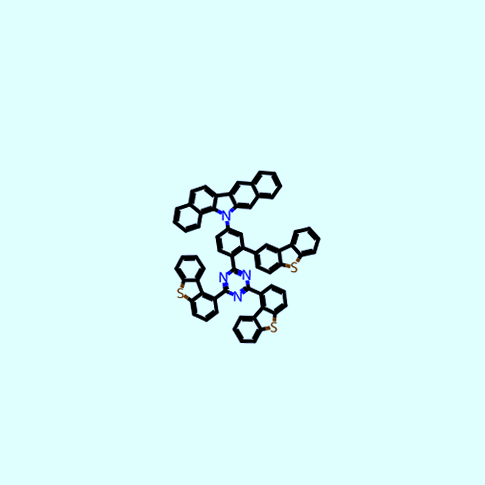 c1ccc2cc3c(cc2c1)c1ccc2ccccc2c1n3-c1ccc(-c2nc(-c3cccc4sc5ccccc5c34)nc(-c3cccc4sc5ccccc5c34)n2)c(-c2ccc3sc4ccccc4c3c2)c1